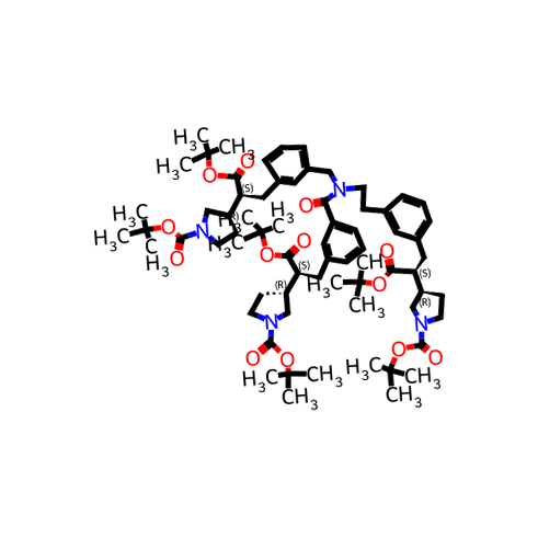 CC(C)(C)OC(=O)[C@@H](Cc1cccc(CCN(Cc2cccc(C[C@H](C(=O)OC(C)(C)C)[C@H]3CCN(C(=O)OC(C)(C)C)C3)c2)C(=O)c2cccc(C[C@H](C(=O)OC(C)(C)C)[C@H]3CCN(C(=O)OC(C)(C)C)C3)c2)c1)[C@H]1CCN(C(=O)OC(C)(C)C)C1